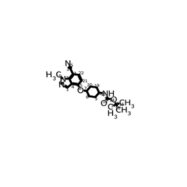 Cn1ncc2c(OC3CCC(NC(=O)OC(C)(C)C)CC3)ccc(C#N)c21